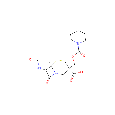 O=CNC1C(=O)N2CC(COC(=O)N3CCCCC3)(C(=O)O)CS[C@H]12